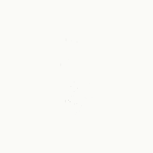 COC(=O)OC1=C(C)NC(C)=C(OC(=O)OCCCC(F)(F)C(F)(F)C(F)(F)C(F)(F)C(F)(F)C(F)(F)F)C1c1cccc(Cl)c1Cl